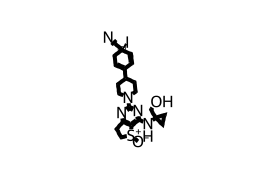 N#C[C@]1(I)C=CC(C2CCN(c3nc4c(c(NC5(CO)CC5)n3)[S+]([O-])CC4)CC2)=CC1